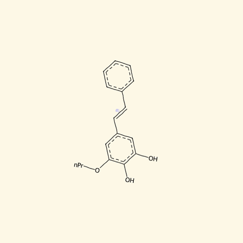 CCCOc1cc(/C=C/c2ccccc2)cc(O)c1O